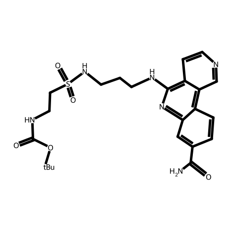 CC(C)(C)OC(=O)NCCS(=O)(=O)NCCCNc1nc2cc(C(N)=O)ccc2c2cnccc12